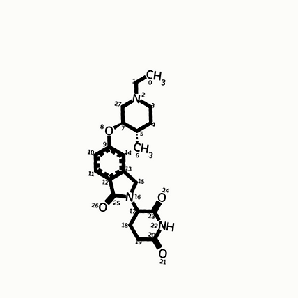 CCN1CC[C@H](C)[C@@H](Oc2ccc3c(c2)CN(C2CCC(=O)NC2=O)C3=O)C1